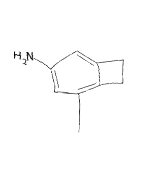 Cc1cc(N)cc2c1CC2